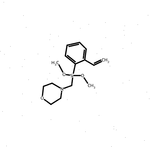 C=Cc1ccccc1[Si](CN1CCOCC1)(OC)OC